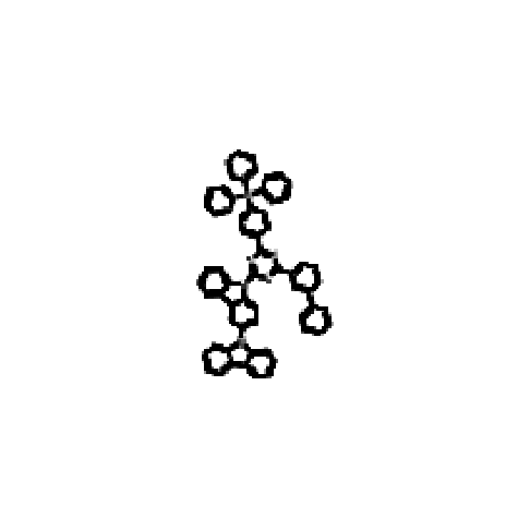 c1ccc(-c2cccc(-c3nc(-c4ccc([Si](c5ccccc5)(c5ccccc5)c5ccccc5)cc4)nc(-n4c5ccccc5c5cc(-n6c7ccccc7c7ccccc76)ccc54)n3)c2)cc1